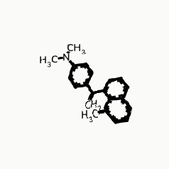 C=C(c1ccc(N(C)C)cc1)c1cccc2cccc(C)c12